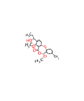 CCC(O)c1ccc2c(c1OC)C(=O)OC(OC)c1cc(C)ccc1O2